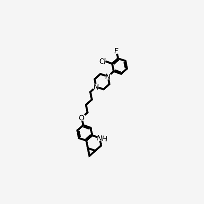 Fc1cccc(N2CCN(CCCCOc3ccc4c(c3)NCC3CC43)CC2)c1Cl